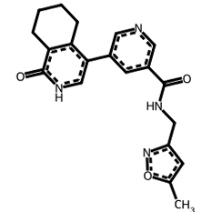 Cc1cc(CNC(=O)c2cncc(-c3c[nH]c(=O)c4c3CCCC4)c2)no1